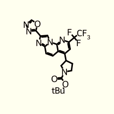 CC(C)(C)OC(=O)N1CCC(c2cc(C(F)(F)C(F)(F)F)nc3c2ccc2nc(-c4nnco4)cn23)C1